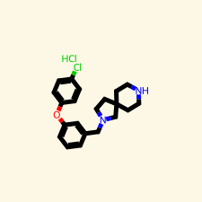 Cl.Clc1ccc(Oc2cccc(CN3CCC4(CCNCC4)C3)c2)cc1